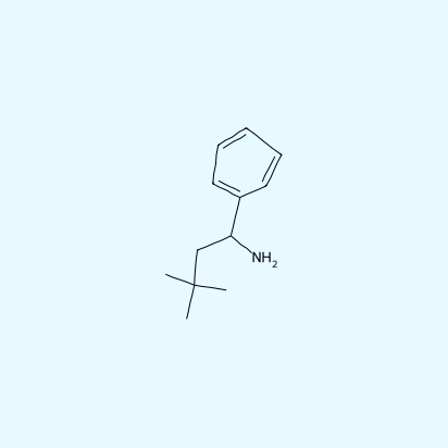 CC(C)(C)CC(N)c1ccccc1